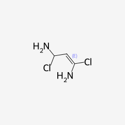 N/C(Cl)=C\C(N)Cl